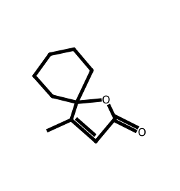 CC1=CC(=O)OC12CCCCC2